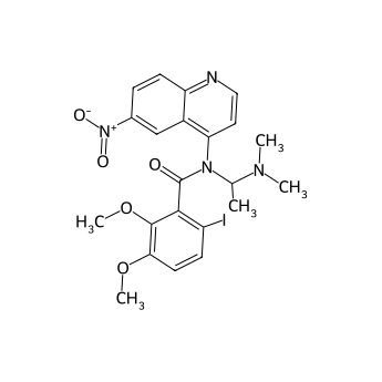 COc1ccc(I)c(C(=O)N(c2ccnc3ccc([N+](=O)[O-])cc23)C(C)N(C)C)c1OC